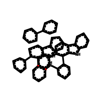 c1ccc(-c2ccc3c([nH]c4ccccc43)c2-c2ccccc2Nc2ccccc2-c2c(-c3ccccc3)ccc3c2[nH]c2ccccc23)cc1.c1ccc(-c2ccccc2)cc1